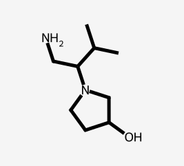 CC(C)C(CN)N1CCC(O)C1